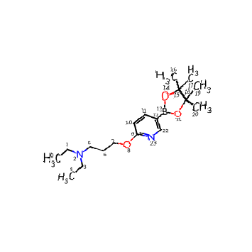 CCN(CC)CCCOc1ccc(B2OC(C)(C)C(C)(C)O2)cn1